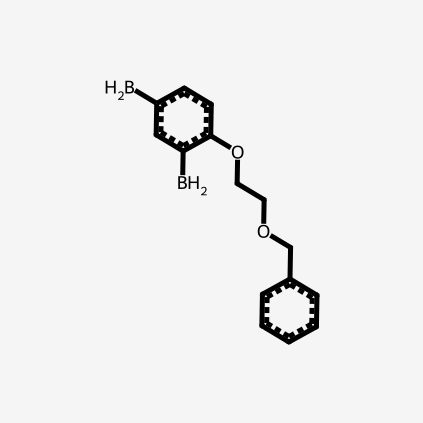 Bc1ccc(OCCOCc2ccccc2)c(B)c1